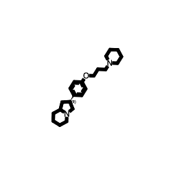 c1cc([C@H]2CC3CCCCN3C2)ccc1OCCCN1CCCCC1